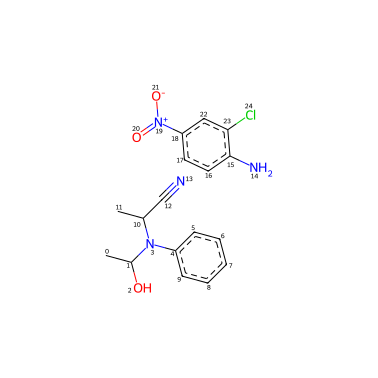 CC(O)N(c1ccccc1)C(C)C#N.Nc1ccc([N+](=O)[O-])cc1Cl